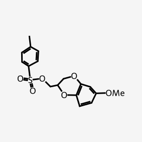 COc1ccc2c(c1)OCC(COS(=O)(=O)c1ccc(C)cc1)O2